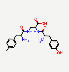 Cc1ccc(C[C@H](N)C(=O)NC[C@H](NC(=O)[C@@H](N)Cc2ccc(O)cc2)C(=O)O)cc1